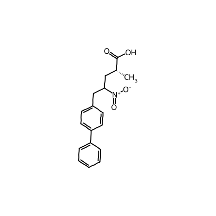 C[C@H](CC(Cc1ccc(-c2ccccc2)cc1)[N+](=O)[O-])C(=O)O